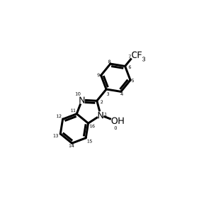 On1c(-c2ccc(C(F)(F)F)cc2)nc2ccccc21